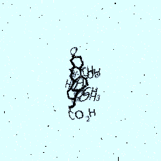 C[C@]12CCC(=O)C=C1CC[C@H]1[C@@H]3CC[C@](O)(CCC(=O)O)[C@@]3(C)CC(O)[C@@]12Br